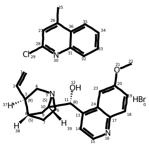 Br.C=C[C@H]1CN2CC[C@H]1C[C@H]2[C@H](O)c1ccnc2ccc(OC)cc12.Cc1cc(Cl)nc2ccccc12